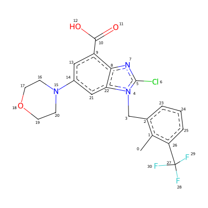 Cc1c(Cn2c(Cl)nc3c(C(=O)O)cc(N4CCOCC4)cc32)cccc1C(F)(F)F